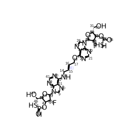 O=[PH](S)OC1[C@@H](F)[C@H](n2cnc3c(NC/C=C/COc4ncnc5c4ncn5[C@@H]4O[C@H](CO)[C@@H](O[PH](=O)S)[C@H]4F)ncnc32)O[C@@H]1CO